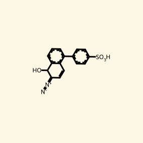 [N-]=[N+]=C1C=Cc2c(-c3ccc(S(=O)(=O)O)cc3)cccc2C1O